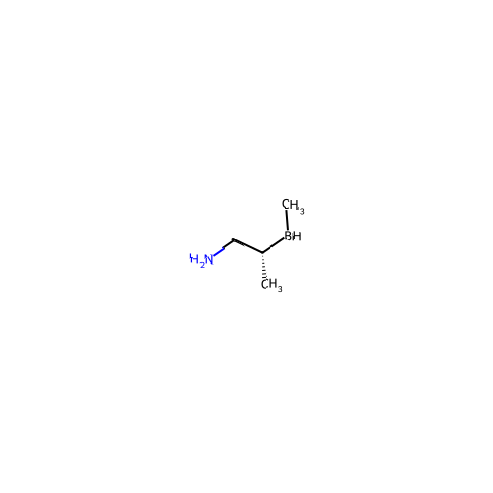 CB[C@H](C)CN